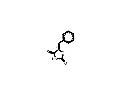 O=C1NC(=S)/C(=C/c2ccccc2)S1